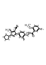 COc1ccc(F)cc1C(=O)NCc1ccc(-c2nn(C3CCCC3)c(N)c2C#N)cc1F